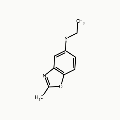 CCSc1ccc2oc(C)nc2c1